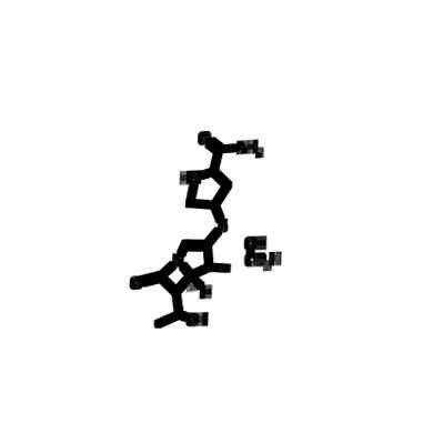 CC(O)C1C(=O)N2C=C(SC3CNC(C(N)=O)C3)C(C)[C@H]12.O=C(O)O